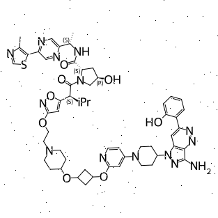 Cc1ncsc1-c1cnc([C@H](C)NC(=O)[C@@H]2C[C@@H](O)CN2C(=O)[C@H](c2cc(OCCN3CCC(OC4CC(Oc5cc(N6CCC(n7nc(N)c8nnc(-c9ccccc9O)cc87)CC6)ccn5)C4)CC3)no2)C(C)C)cn1